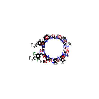 CCCCC1NC(=O)CC(C(=O)N(C)C)N(C)C(=O)C(C2CCCC2)N(C)C(=O)C2(CC(C)(C)C2)NC(=O)C2CC(OCC)CN2C(=O)C(CCc2cc(F)c(C(F)(F)F)c(F)c2)NC(=O)CN(C)C(=O)C(Cc2ccc(C(F)(F)F)cc2)N2CCC=CCC(C2=O)N(C)C(=O)CN(C)C(=O)C([C@@H](C)CC)NC1=O